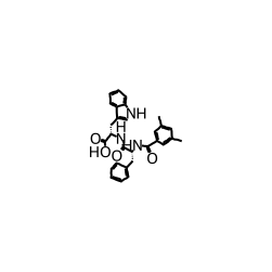 Cc1cc(C)cc(C(=O)N[C@H](Cc2ccccc2)C(=O)N[C@@H](Cc2c[nH]c3ccccc23)C(=O)O)c1